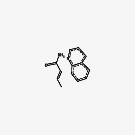 CC=CC(N)=O.c1ccc2ncccc2c1